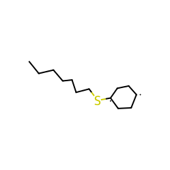 CCCCCCCS[C]1CC[CH]CC1